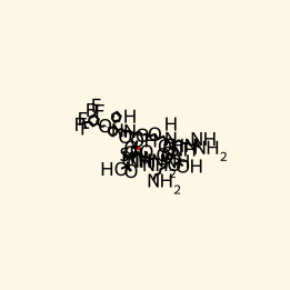 N=C(N)NCCCC(NC(=O)CCOCCOCCNC(=O)CN1CCC[C@H](OCc2cc(C(F)(F)F)cc(C(F)(F)F)c2)[C@@H]1c1ccccc1)C(=O)N[C@@H](CC(=O)O)C(=O)NC(CCCCN)C(=O)NC[C@H](N)C(=O)N[C@@H](CC(=O)O)C(=O)N[C@@H](CS)C(=O)O